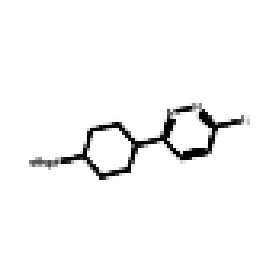 CCCCCCCC1CCC(c2ccc(CC)nn2)CC1